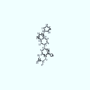 CC(Cn1ccc(-c2ccc3c(c2)ncn3-c2ccsc2)nc1=O)N(C)C